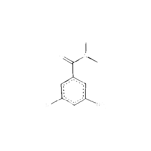 CC(=O)c1cc(C(=O)N(C)C)cc([N+](=O)[O-])c1